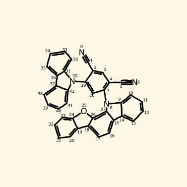 N#Cc1cc(C#N)c(-n2c3ccccc3c3ccc4c5ccccc5oc4c32)cc1-n1c2ccccc2c2ccccc21